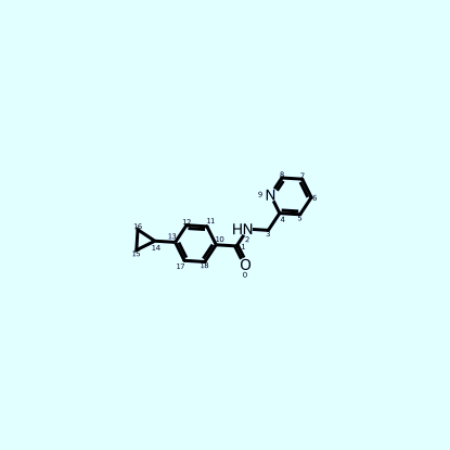 O=C(NCc1ccccn1)c1ccc(C2CC2)cc1